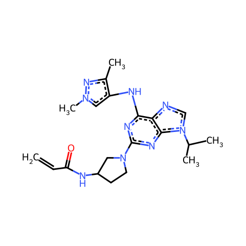 C=CC(=O)NC1CCN(c2nc(Nc3cn(C)nc3C)c3ncn(C(C)C)c3n2)C1